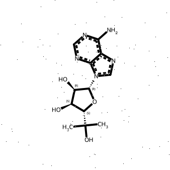 CC(C)(O)[C@H]1O[C@@H](n2cnc3c(N)ncnc32)[C@H](O)[C@@H]1O